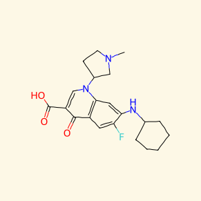 CN1CCC(n2cc(C(=O)O)c(=O)c3cc(F)c(NC4CCCCC4)cc32)C1